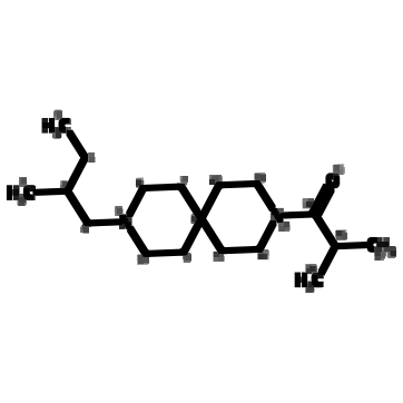 CCC(C)CN1CCC2(CC1)CCN(C(=O)C(C)C)CC2